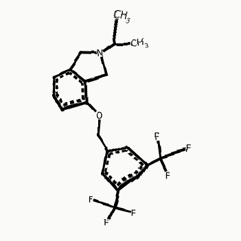 CC(C)N1Cc2cccc(OCc3cc(C(F)(F)F)cc(C(F)(F)F)c3)c2C1